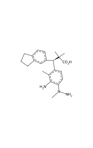 Cc1c([C@@H](c2ccc3c(c2)CCC3)C(C)(C)C(=O)O)ccc(N(C)N)c1N